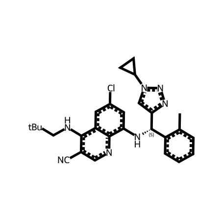 Cc1ccccc1[C@H](Nc1cc(Cl)cc2c(NCC(C)(C)C)c(C#N)cnc12)c1cn(C2CC2)nn1